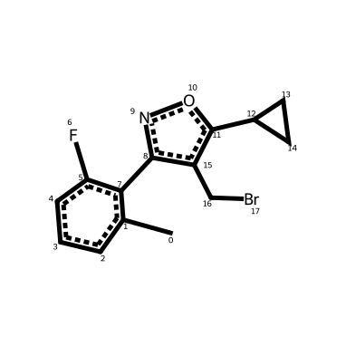 Cc1cccc(F)c1-c1noc(C2CC2)c1CBr